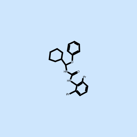 CC(C)c1cccc(C(C)C)c1NC(=O)NC(Oc1ccccc1)C1CCCCC1